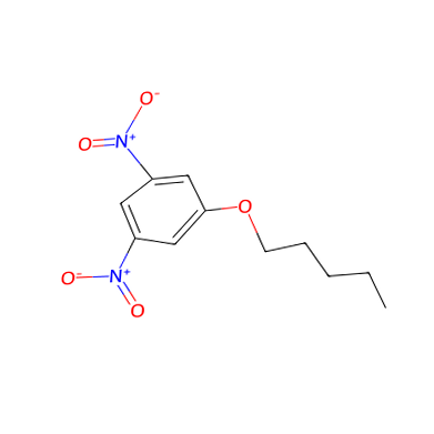 CCCCCOc1cc([N+](=O)[O-])cc([N+](=O)[O-])c1